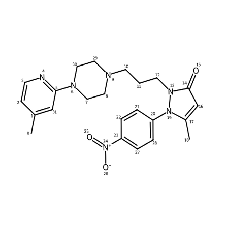 Cc1ccnc(N2CCN(CCCn3c(=O)cc(C)n3-c3ccc([N+](=O)[O-])cc3)CC2)c1